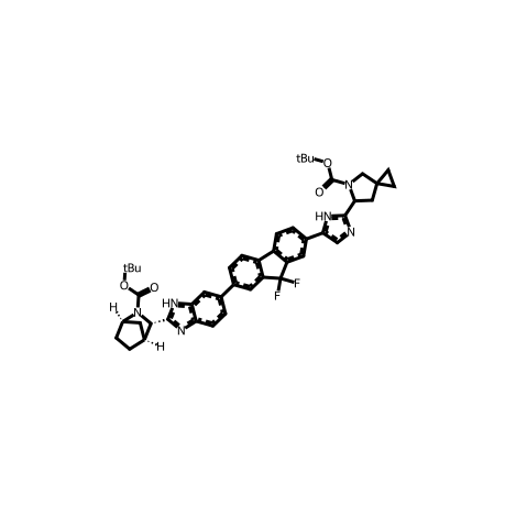 CC(C)(C)OC(=O)N1CC2(CC2)CC1c1ncc(-c2ccc3c(c2)C(F)(F)c2cc(-c4ccc5nc([C@@H]6[C@H]7CC[C@H](C7)N6C(=O)OC(C)(C)C)[nH]c5c4)ccc2-3)[nH]1